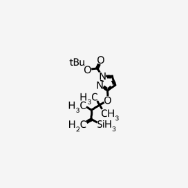 C=C([SiH3])C(C)C(C)(C)Oc1ccn(C(=O)OC(C)(C)C)n1